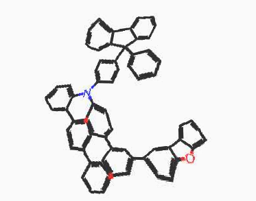 c1ccc(-c2ccc(-c3ccccc3N(c3ccc(-c4cccc(-c5ccc6oc7ccccc7c6c5)c4)cc3)c3ccc(C4(c5ccccc5)c5ccccc5-c5ccccc54)cc3)cc2)cc1